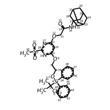 CC(C)(C)[Si](OCCOc1cc(OCC(=O)NC23CC4CC(CC(C4)C2)C3)nc(S(C)(=O)=O)n1)(c1ccccc1)c1ccccc1